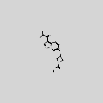 COC(=O)N1CC(Oc2ccc3c(C(=O)C(C)C)cnn3c2)C1